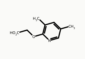 Cc1cnc(OCC(=O)O)c(C)c1